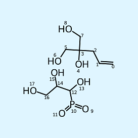 C=CCC(O)(CO)CO.O=P(=O)C(O)C(O)CO